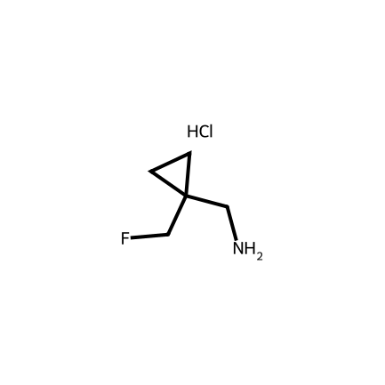 Cl.NCC1(CF)CC1